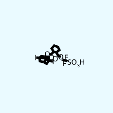 O=C(OCC(F)(F)S(=O)(=O)O)C1CCCCC1C(=O)OC12CC3CC(I)(CC(I)(C3)C1)C2